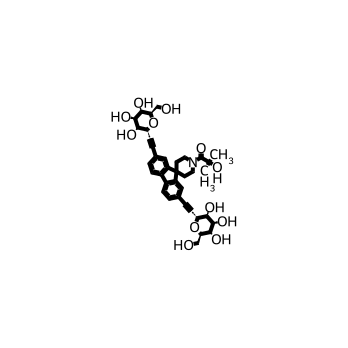 CC(C)(O)C(=O)N1CCC2(CC1)c1cc(C#C[C@H]3O[C@H](CO)[C@@H](O)[C@H](O)[C@H]3O)ccc1-c1ccc(C#C[C@H]3O[C@H](CO)[C@@H](O)[C@H](O)[C@H]3O)cc12